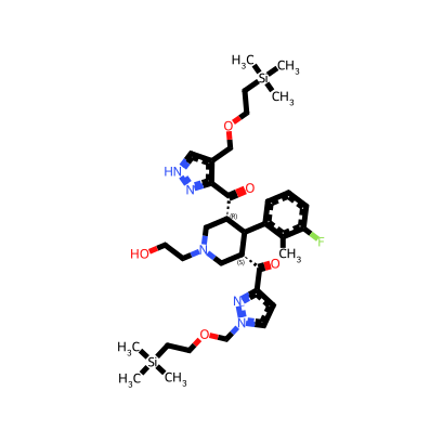 Cc1c(F)cccc1C1[C@@H](C(=O)c2n[nH]cc2COCC[Si](C)(C)C)CN(CCO)C[C@H]1C(=O)c1ccn(COCC[Si](C)(C)C)n1